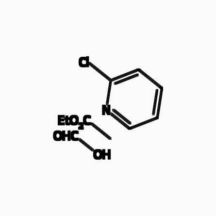 CCOC(C)=O.Clc1ccccn1.O=CO